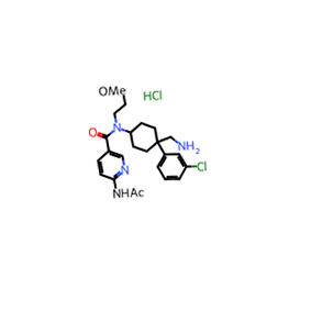 COCCN(C(=O)c1ccc(NC(C)=O)nc1)C1CCC(CN)(c2cccc(Cl)c2)CC1.Cl